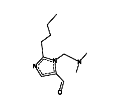 CCCCc1ncc(C=O)n1CN(C)C